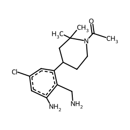 CC(=O)N1CCC(c2cc(Cl)cc(N)c2CN)CC1(C)C